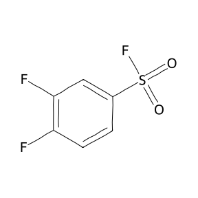 O=S(=O)(F)c1ccc(F)c(F)c1